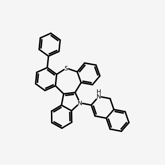 C1=C(n2c3c(c4ccccc42)-c2cccc(-c4ccccc4)c2Sc2ccccc2-3)NCc2ccccc21